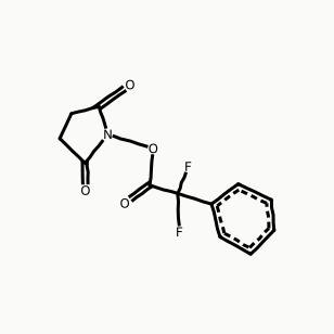 O=C1CCC(=O)N1OC(=O)C(F)(F)c1ccccc1